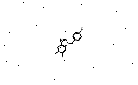 Cc1cc2ncn(Cc3ccc(F)cc3)c2cc1C